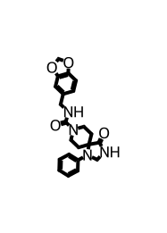 O=C(NCc1ccc2c(c1)OCO2)N1CCC2(CC1)C(=O)NCN2c1ccccc1